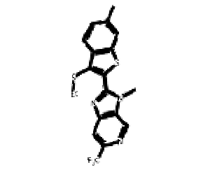 CCSc1c(-c2nc3cc(C(F)(F)F)ncc3n2C)sc2cc(C)ccc12